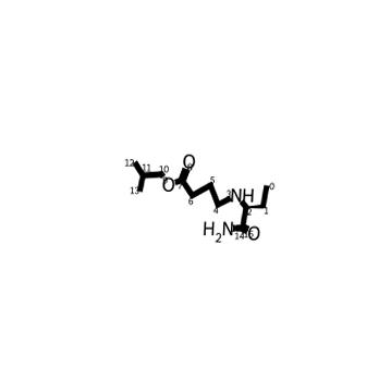 CC[C@H](NCCCC(=O)OCC(C)C)C(N)=O